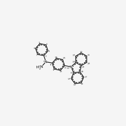 NN(c1ccccc1)c1ccc(-n2c3ccccc3c3ccccc32)cc1